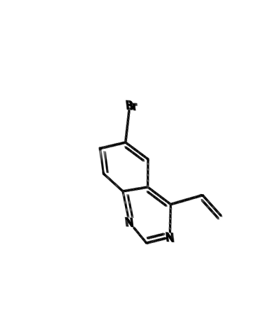 C=Cc1ncnc2ccc(Br)cc12